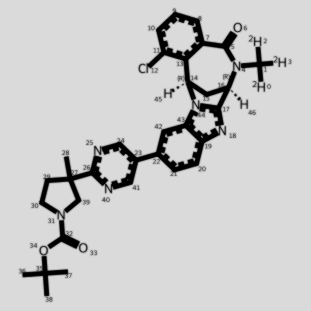 [2H]C([2H])([2H])N1C(=O)c2cccc(Cl)c2[C@H]2C[C@@H]1c1nc3ccc(-c4cnc(C5(C)CCN(C(=O)OC(C)(C)C)C5)nc4)cc3n12